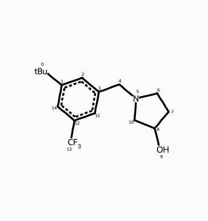 CC(C)(C)c1cc(CN2CCC(O)C2)cc(C(F)(F)F)c1